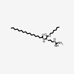 CCCCCCCCCCCCCCCC(=O)N[C@@H](CCCNC(=N)N)C(=O)OCCCCCC